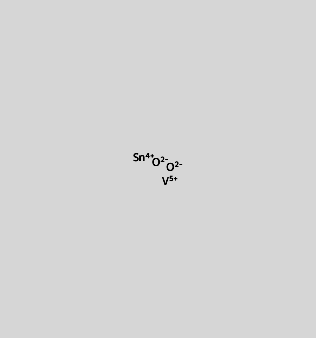 [O-2].[O-2].[Sn+4].[V+5]